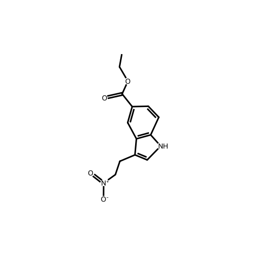 CCOC(=O)c1ccc2[nH]cc(CC[N+](=O)[O-])c2c1